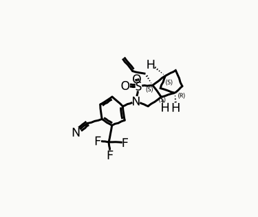 C=CC[C@]12[C@H]3CC[C@H](C3)[C@H]1CN(c1ccc(C#N)c(C(F)(F)F)c1)S2(=O)=O